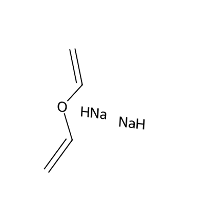 C=COC=C.[NaH].[NaH]